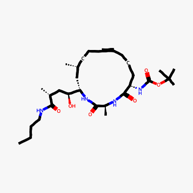 CCCCNC(=O)[C@H](C)C[C@H](O)[C@@H]1C[C@H](C)CCC=CCCC[C@H](NC(=O)OC(C)(C)C)C(=O)N[C@@H](C)C(=O)N1